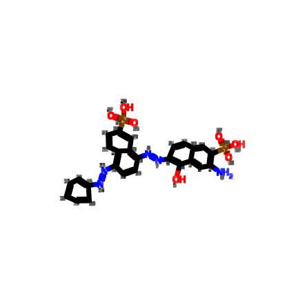 Nc1cc2c(O)c(N=Nc3ccc(N=Nc4ccccc4)c4ccc(S(=O)(=O)O)cc34)ccc2cc1S(=O)(=O)O